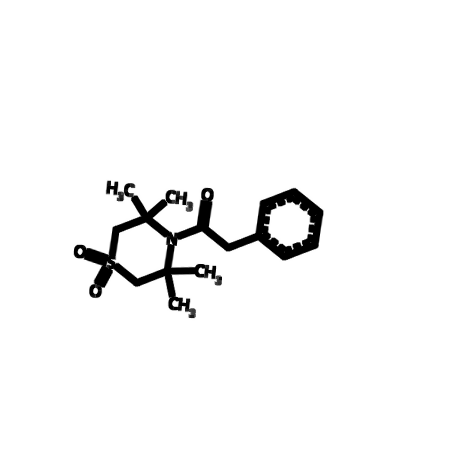 CC1(C)CS(=O)(=O)CC(C)(C)N1C(=O)Cc1ccccc1